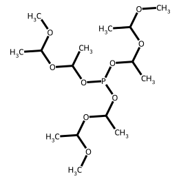 COC(C)OC(C)OP(OC(C)OC(C)OC)OC(C)OC(C)OC